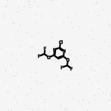 FC(F)Oc1cc(OC(F)F)nc(Cl)n1